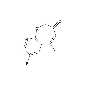 CC1=CC(=O)COc2ncc(F)cc21